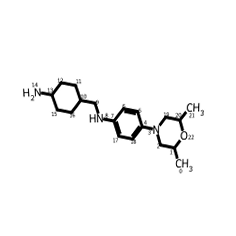 CC1CN(c2ccc(NCC3CCC(N)CC3)cc2)CC(C)O1